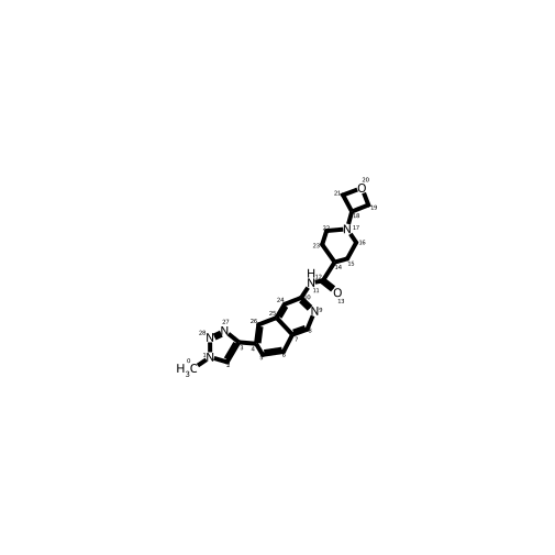 Cn1cc(-c2ccc3cnc(NC(=O)C4CCN(C5COC5)CC4)cc3c2)nn1